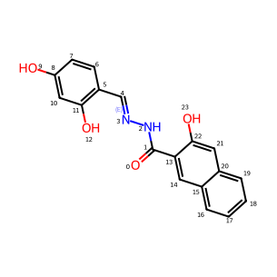 O=C(N/N=C/c1ccc(O)cc1O)c1cc2ccccc2cc1O